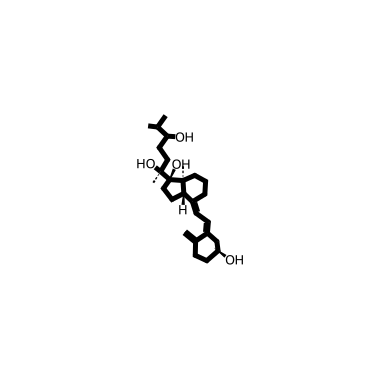 C=C1CC[C@H](O)C/C1=C/C=C1\CCC[C@@]2(C)[C@H]1CC[C@]2(O)[C@@](C)(O)CCC(O)C(C)C